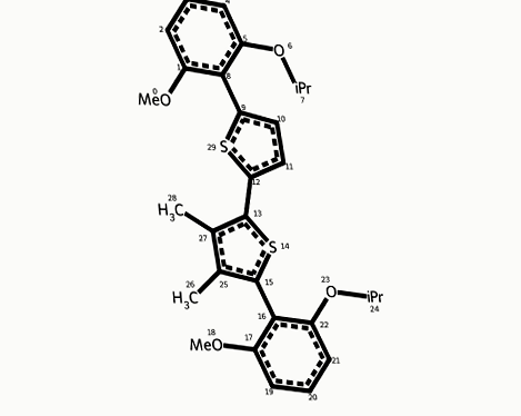 COc1cccc(OC(C)C)c1-c1ccc(-c2sc(-c3c(OC)cccc3OC(C)C)c(C)c2C)s1